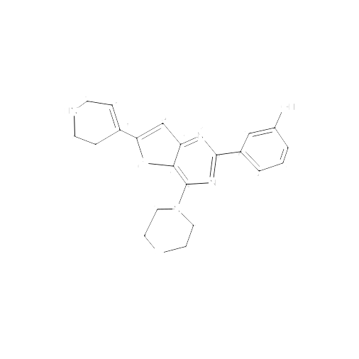 Oc1cccc(-c2nc(N3CCOCC3)c3sc(C4=CCNCC4)cc3n2)c1